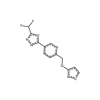 FC(F)c1nnc(-c2ccc(COc3ccon3)nc2)o1